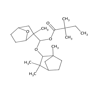 CCC(C)(C)C(=O)OC(OC1C2(C)CCC(C2)C1(C)C)C1(C)CC2CCC1O2